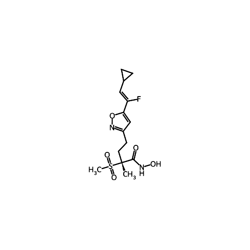 C[C@@](CCc1cc(/C(F)=C/C2CC2)on1)(C(=O)NO)S(C)(=O)=O